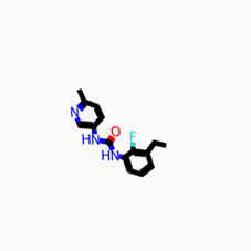 CCc1cccc(NC(=O)Nc2ccc(C)nc2)c1F